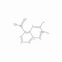 Cc1cc2c([N+](=O)[O-])cccc2c[n+]1C